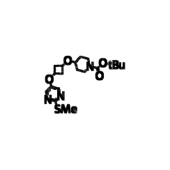 CSc1ncc(OC2CC(OC3CCN(C(=O)OC(C)(C)C)CC3)C2)cn1